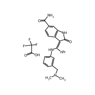 CCCC(Nc1cccc(CN(C)C)c1)=C1C(=O)Nc2cc(C(N)=O)ccc21.O=C(O)C(F)(F)F